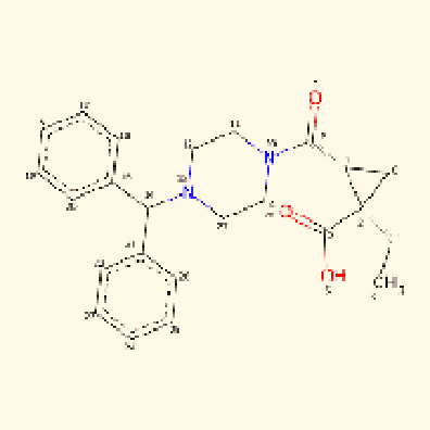 CC[C@@]1(C(=O)O)C[C@H]1C(=O)N1CCN(C(c2ccccc2)c2ccccc2)CC1